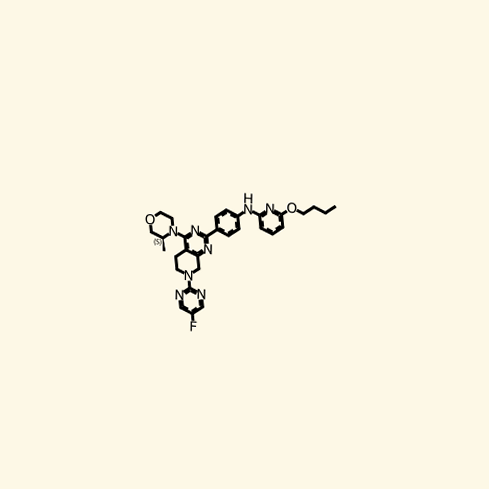 CCCCOc1cccc(Nc2ccc(-c3nc4c(c(N5CCOC[C@@H]5C)n3)CCN(c3ncc(F)cn3)C4)cc2)n1